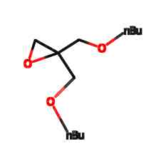 CCCCOCC1(COCCCC)CO1